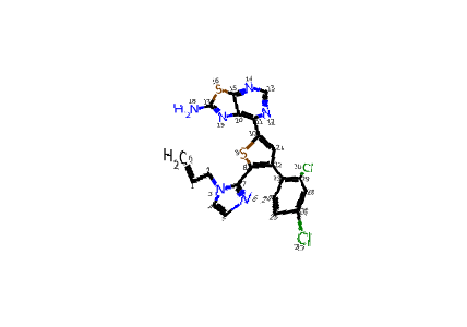 C=CCn1ccnc1-c1sc(-c2ncnc3sc(N)nc23)cc1-c1ccc(Cl)cc1Cl